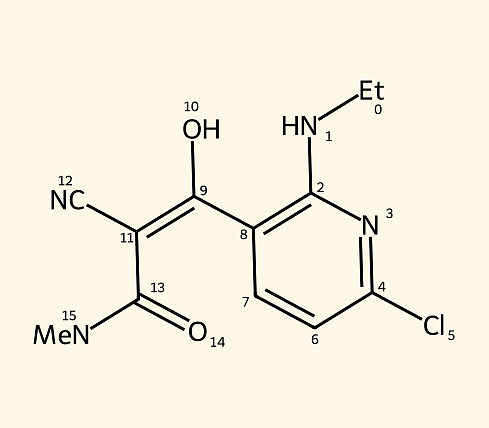 CCNc1nc(Cl)ccc1C(O)=C(C#N)C(=O)NC